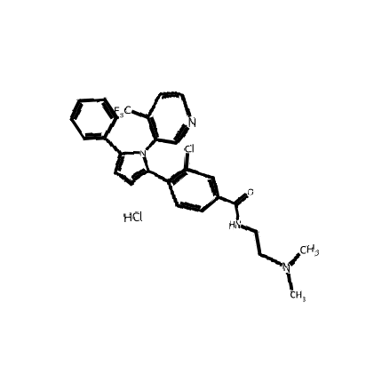 CN(C)CCNC(=O)c1ccc(-c2ccc(-c3ccccc3)n2-c2cnccc2C(F)(F)F)c(Cl)c1.Cl